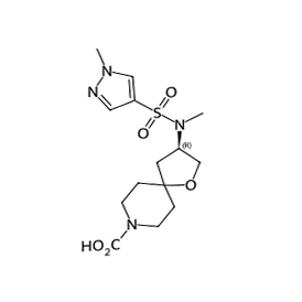 CN([C@H]1COC2(CCN(C(=O)O)CC2)C1)S(=O)(=O)c1cnn(C)c1